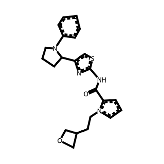 O=C(Nc1nc(C2CCCN2c2ccccc2)cs1)c1cccn1CCC1COC1